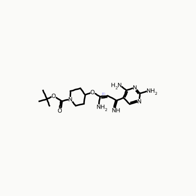 CC(C)(C)OC(=O)N1CCC(O/C(N)=C/C(=N)c2cnc(N)nc2N)CC1